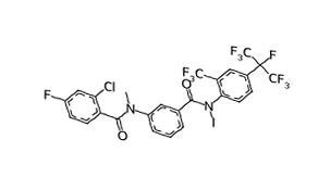 CN(C(=O)c1ccc(F)cc1Cl)c1cccc(C(=O)N(I)c2ccc(C(F)(C(F)(F)F)C(F)(F)F)cc2C(F)(F)F)c1